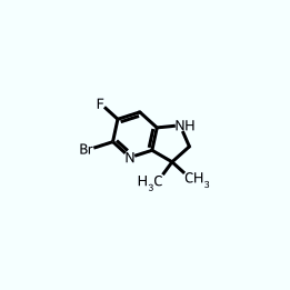 CC1(C)CNc2cc(F)c(Br)nc21